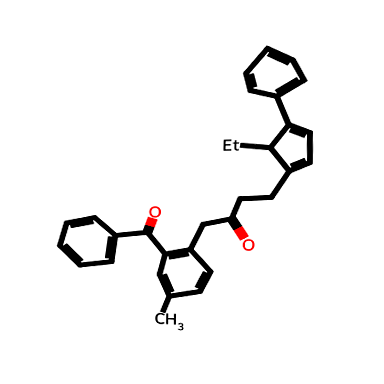 CCC1C(CCC(=O)Cc2ccc(C)cc2C(=O)c2ccccc2)=CC=C1c1ccccc1